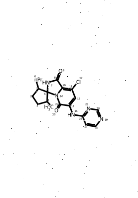 CCCC1CCC(C)C12NC(=O)c1c(Cl)cc(Nc3ccncn3)c(=O)n12